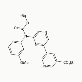 CCOC(=O)c1cncc(-c2cncc(N(C(=O)OC(C)(C)C)c3cccc(OC)c3)n2)c1